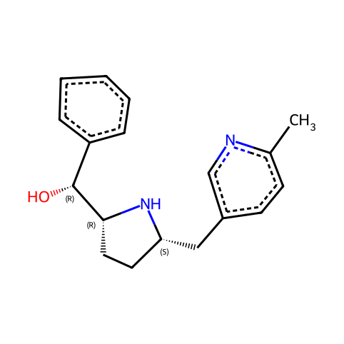 Cc1ccc(C[C@@H]2CC[C@H]([C@H](O)c3ccccc3)N2)cn1